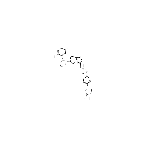 O=C(NS(=O)(=O)c1ccc(N2CCC(O)C2)cc1)c1cnc2ccc(N3CCCC3c3cc(F)ccc3F)cn12